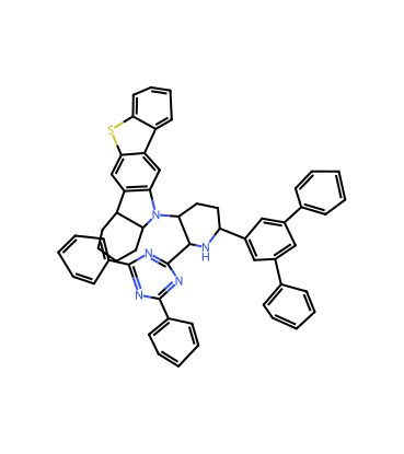 c1ccc(-c2cc(-c3ccccc3)cc(C3CCC(N4c5cc6c(cc5C5CCCCC54)sc4ccccc46)C(c4nc(-c5ccccc5)nc(-c5ccccc5)n4)N3)c2)cc1